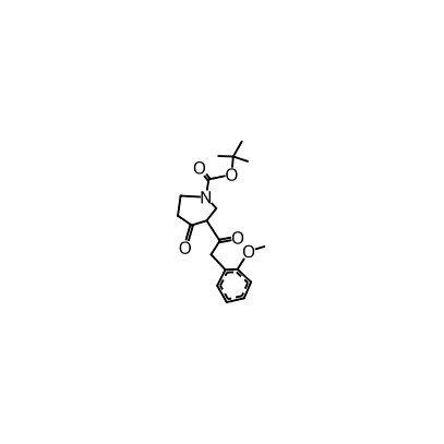 COc1ccccc1CC(=O)C1CN(C(=O)OC(C)(C)C)CCC1=O